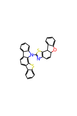 C1=CC2Oc3ccccc3C2c2sc(-n3c4ccccc4c4ccc5c6ccccc6sc5c43)nc21